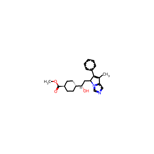 COC(=O)[C@H]1CC[C@H]([C@@H](O)CC2C(c3ccccc3)=C(C)c3cncn32)CC1